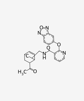 CC(=O)C1CC2C=CC1C(CNC(=O)c1cccnc1Oc1ccc3nonc3c1)C2